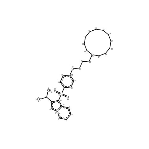 CC(C)c1cn2ccccc2c1S(=O)(=O)c1ccc(OCCCN2CCCCCCCCCCC2)cc1